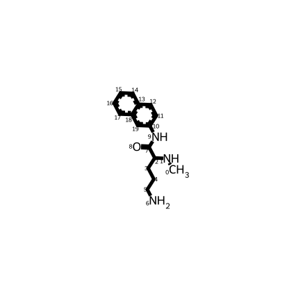 CNC(CCCN)C(=O)Nc1ccc2ccccc2c1